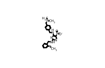 CSc1ccccc1CNc1ncc([N+](=O)[O-])c(NCc2ccc(CN(C)C)cc2)n1